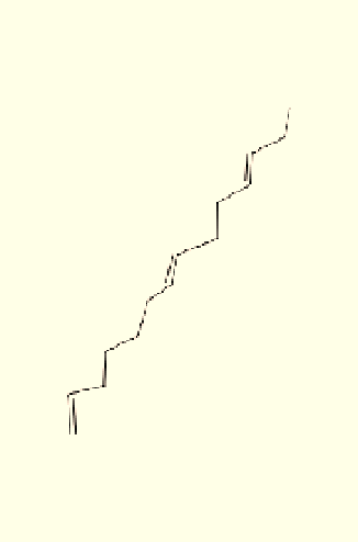 C=CCCCCC=CCCC=CCC